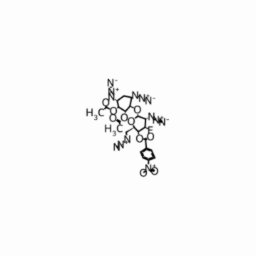 CC(=O)O[C@@H]1[C@@H](OC(C)=O)[C@H](N=[N+]=[N-])C[C@H](N=[N+]=[N-])[C@H]1O[C@H]1O[C@H](CN=[N+]=[N-])[C@H](OC(=O)c2ccc([N+](=O)[O-])cc2)[C@H](F)[C@H]1N=[N+]=[N-]